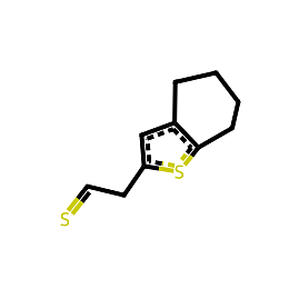 S=CCc1cc2c(s1)CCCC2